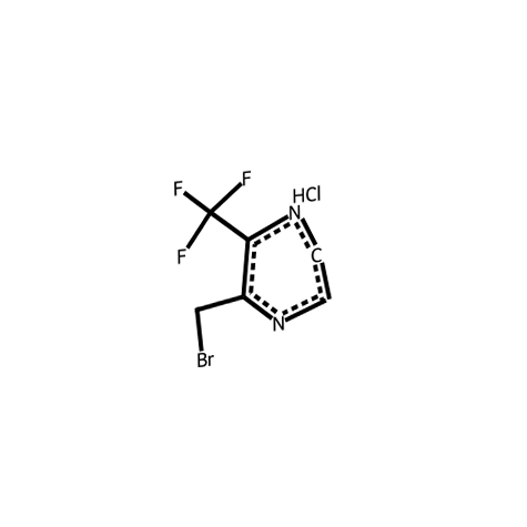 Cl.FC(F)(F)c1nccnc1CBr